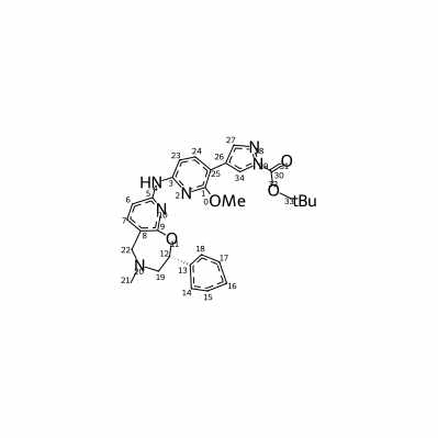 COc1nc(Nc2ccc3c(n2)O[C@H](c2ccccc2)CN(C)C3)ccc1-c1cnn(C(=O)OC(C)(C)C)c1